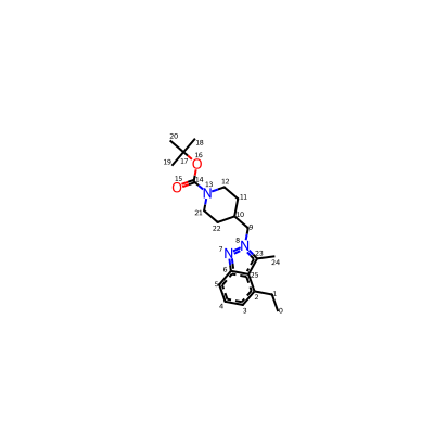 CCc1cccc2nn(CC3CCN(C(=O)OC(C)(C)C)CC3)c(C)c12